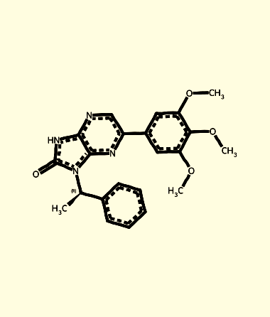 COc1cc(-c2cnc3[nH]c(=O)n([C@H](C)c4ccccc4)c3n2)cc(OC)c1OC